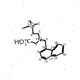 C[Si](C)(C)CCN(CC(=O)O)Cc1cccc2ccccc12